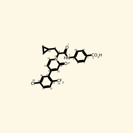 O=C(O)c1ccc(NC(=O)C(CC2CC2)n2ccc(-c3cc(Cl)ccc3C(F)(F)F)cc2=O)cc1